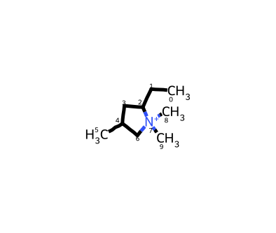 CCC1CC(C)C[N+]1(C)C